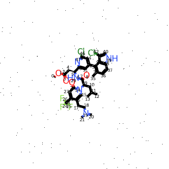 COC(=O)C[C@H](NC(=O)C(CC(C)C)n1cc(CCN(C)C)c(C(F)(F)F)cc1=O)c1cc(-c2c(C)ccc3[nH]cc(Cl)c23)cc(Cl)n1